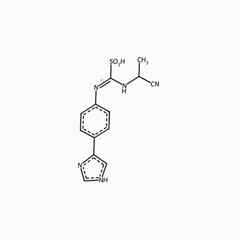 CC(C#N)N/C(=N\c1ccc(-c2c[nH]cn2)cc1)S(=O)(=O)O